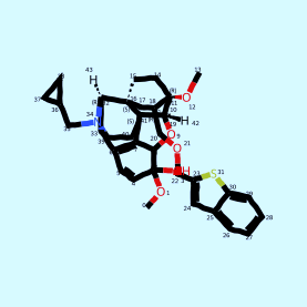 COC1(O)C=CC2=C3C1O[C@H]1[C@@]4(OC)CC[C@@]5(C[C@]4(C)COCc4cc6ccccc6s4)[C@@H](C2)N(CC2CC2)CC[C@]315